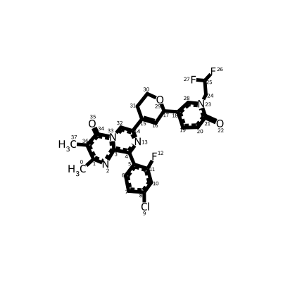 Cc1nc2c(-c3ccc(Cl)cc3F)nc(C3=CC(c4ccc(=O)n(CC(F)F)c4)OCC3)cn2c(=O)c1C